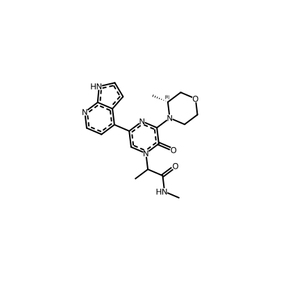 CNC(=O)C(C)n1cc(-c2ccnc3[nH]ccc23)nc(N2CCOC[C@H]2C)c1=O